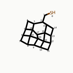 SCC1C2CC3C4CC5C6C7CC8C9CC1C91C9C23C45C69C871